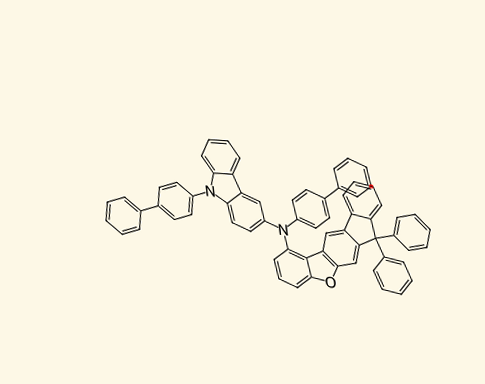 c1ccc(-c2ccc(N(c3ccc4c(c3)c3ccccc3n4-c3ccc(-c4ccccc4)cc3)c3cccc4oc5cc6c(cc5c34)-c3ccccc3C6(c3ccccc3)c3ccccc3)cc2)cc1